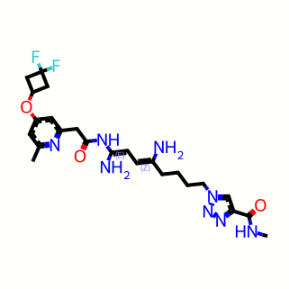 CNC(=O)c1cn(CCCC/C(N)=C/C=C(\N)NC(=O)Cc2cc(OC3CC(F)(F)C3)cc(C)n2)nn1